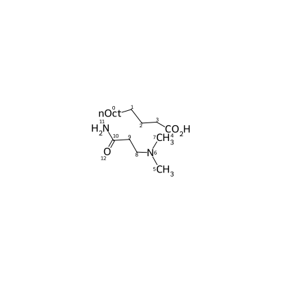 CCCCCCCCCCCC(=O)O.CN(C)CCC(N)=O